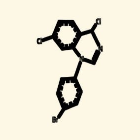 Clc1ccc2c(c1)N(c1ccc(Br)cc1)C=NC2Cl